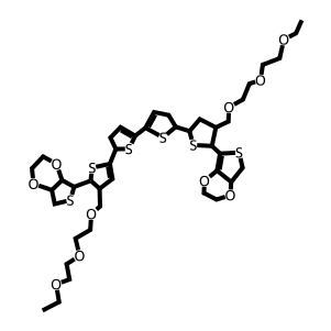 CCOCCOCCOCC1C=C(C2CC=C(C3=CCC(C4CC(COCCOCCOCC)C(C5=C6OCCOC6CS5)S4)S3)S2)SC1C1SCC2OCCOC21